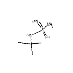 CC(C)(C)NS(=N)(=N)N